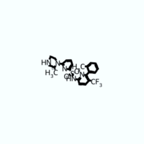 Cc1ccccc1-c1nc(NS(=O)(=O)c2cccc(N3CCNC[C@@H]3C)n2)ccc1C(F)(F)F